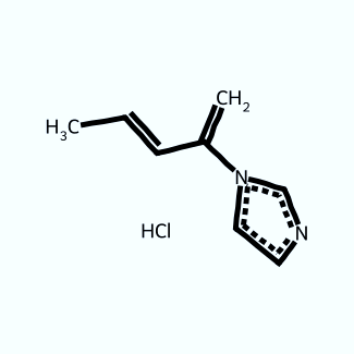 C=C(C=CC)n1ccnc1.Cl